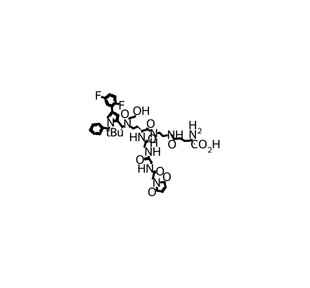 CC(C)(C)[C@H](c1cc(-c2cc(F)ccc2F)cn1Cc1ccccc1)N(CC[C@H](NC(=O)CNC(=O)CNC(=O)CN1C(=O)C=CC1=O)C(=O)NCCNC(=O)CC[C@H](N)C(=O)O)C(=O)CO